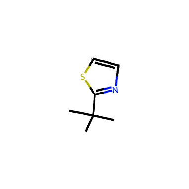 CC(C)(C)c1nc[c]s1